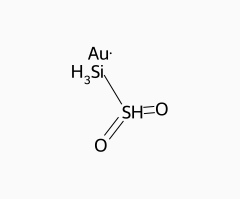 O=[SH](=O)[SiH3].[Au]